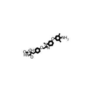 [2H]C1(Cc2ccc(OCc3nc4ccc(Oc5cc(C)c(N)c(C)c5)cc4n3C)cc2)SC(=O)NC1=O